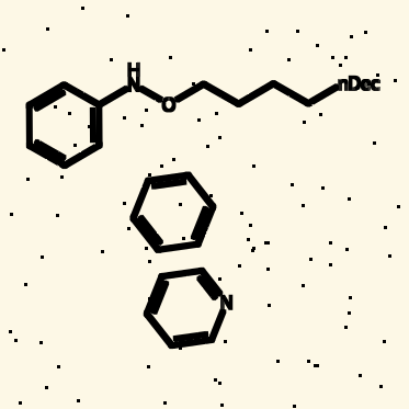 CCCCCCCCCCCCCCONc1ccccc1.c1ccccc1.c1ccncc1